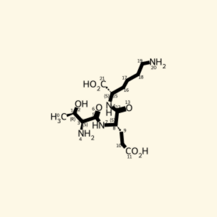 C[C@@H](O)[C@H](N)C(=O)N[C@@H](CCC(=O)O)C(=O)N[C@@H](CCCCN)C(=O)O